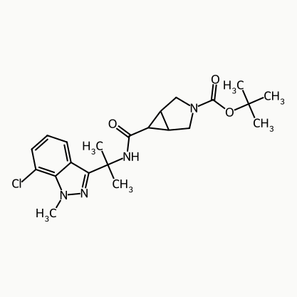 Cn1nc(C(C)(C)NC(=O)C2C3CN(C(=O)OC(C)(C)C)CC32)c2cccc(Cl)c21